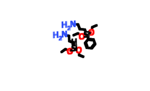 CCO[SiH](CCCN)OCC.CCO[Si](CCCN)(OCC)c1ccccc1